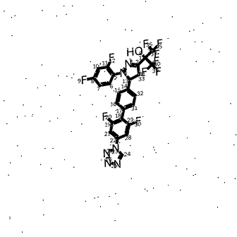 OC(C1=NN(c2ccc(F)cc2F)C(c2ccc(-c3c(F)cc(-n4cnnn4)cc3F)cc2)C1)(C(F)(F)F)C(F)(F)F